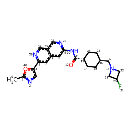 Cc1ncc(-c2cc3cc(NC(=O)[C@H]4CC[C@H](CN5CC(F)C5)CC4)ncc3cn2)o1